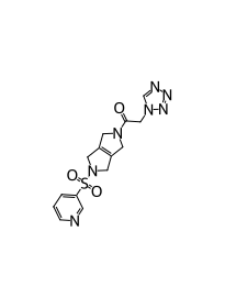 O=C(Cn1cnnn1)N1CC2=C(C1)CN(S(=O)(=O)c1cccnc1)C2